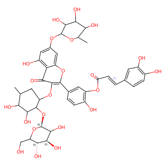 CC1CC(Oc2c(-c3ccc(O)c(OC(=O)/C=C/c4ccc(O)c(O)c4)c3)oc3cc(OC4OC(C)C(O)C(O)C4O)cc(O)c3c2=O)C(O[C@@H]2OC(CO)[C@@H](O)[C@H](O)C2O)C(O)C1O